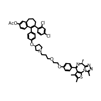 CC(=O)Oc1ccc2c(c1)CCCC(c1ccc(Cl)cc1Cl)=C2c1ccc(O[C@H]2CCN(CCCOCCOc3ccc(C4=N[C@@H](C)c5nnc(C)n5-c5sc(C)c(C)c54)cc3)C2)cc1